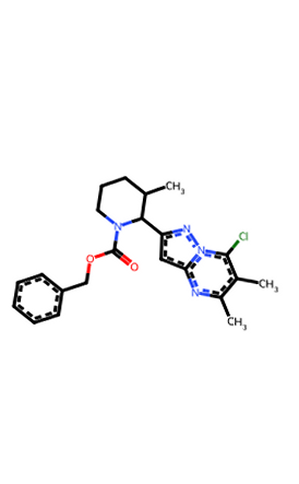 Cc1nc2cc(C3C(C)CCCN3C(=O)OCc3ccccc3)nn2c(Cl)c1C